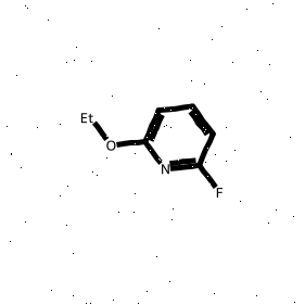 [CH2]COc1cccc(F)n1